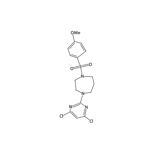 COc1ccc(S(=O)(=O)N2CCCN(c3nc(Cl)cc(Cl)n3)CC2)cc1